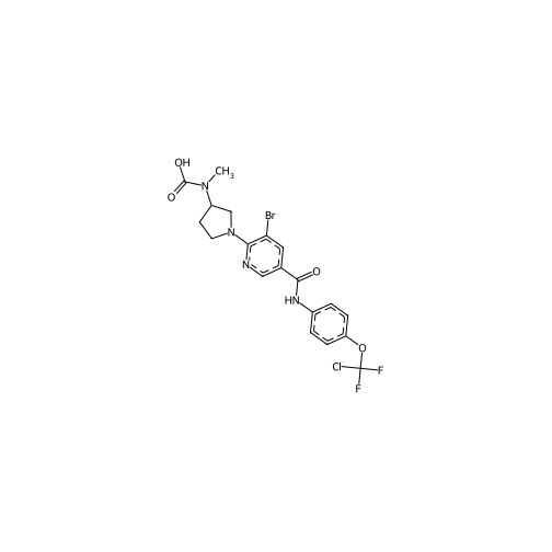 CN(C(=O)O)C1CCN(c2ncc(C(=O)Nc3ccc(OC(F)(F)Cl)cc3)cc2Br)C1